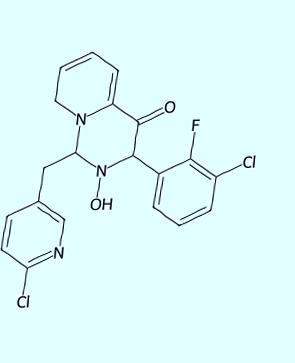 O=C1C2=CC=CCN2C(Cc2ccc(Cl)nc2)N(O)C1c1cccc(Cl)c1F